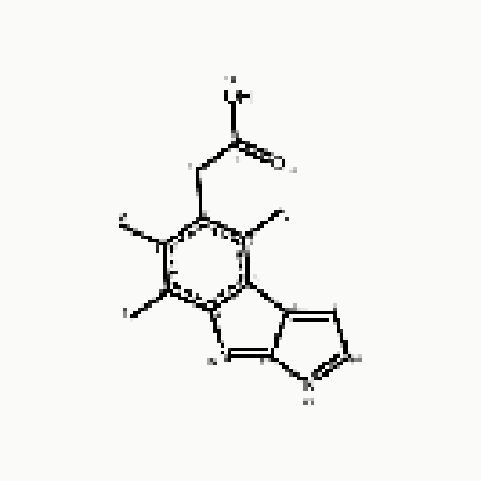 Cc1c(C)c2c(c(C)c1CC(=O)O)C1=CC=NC1=N2